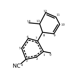 Cc1cc(C#N)ccc1C1C=CC=CC1C